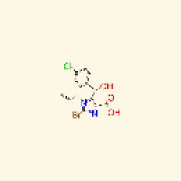 C=CCn1c(Br)nc(C(=O)O)c1C(O)c1ccc(Cl)cc1